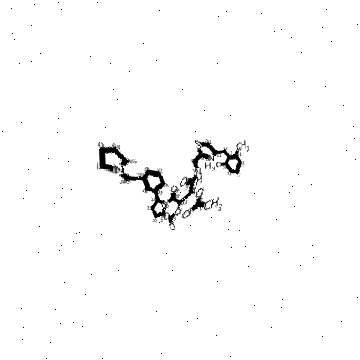 CC(=O)O[C@@H](C(=O)NCc1nc(Cc2c(C)cccc2C)cs1)[C@@H](OC(C)=O)C(=O)N1CCCC1c1cccc(CN2CCCC2)c1